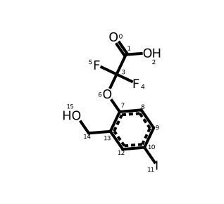 O=C(O)C(F)(F)Oc1ccc(I)cc1CO